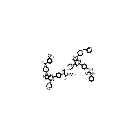 CNC(=O)Nc1ccc(-c2nc(N3CCOCC3)c3cnn(C4CCN(C(=O)c5cccc(C(F)(F)F)c5)CC4)c3n2)cc1.O=C(Nc1ccccc1)Nc1ccc(-c2nc(N3CCOCC3)c3cnn(C4CCN(Cc5cccnc5)CC4)c3n2)cc1